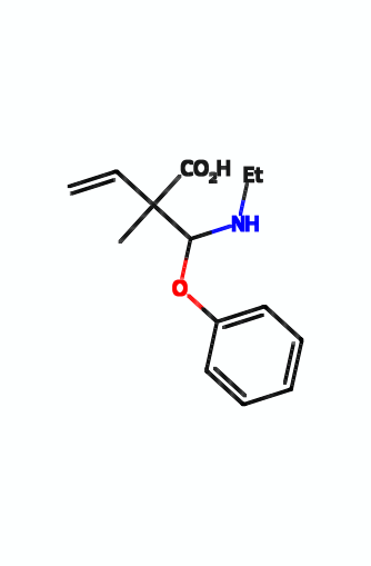 C=CC(C)(C(=O)O)C(NCC)Oc1ccccc1